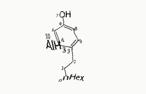 CCCCCCCCc1ccc(O)cc1.[AlH3]